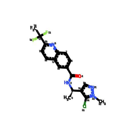 C[C@H](NC(=O)c1ccc2nc(C(F)(F)C(F)(F)F)ccc2c1)c1cnn(C)c1Cl